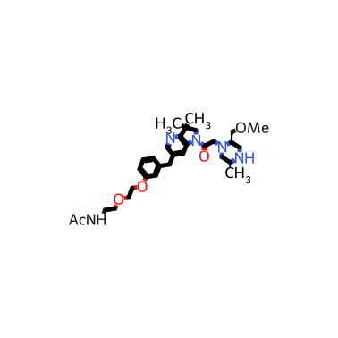 COC[C@H]1CN[C@H](C)CN1CC(=O)N1CC(C)(C)c2ncc(Cc3cccc(OCCOCCNC(C)=O)c3)cc21